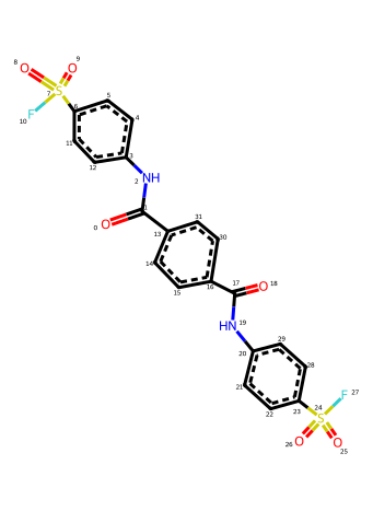 O=C(Nc1ccc(S(=O)(=O)F)cc1)c1ccc(C(=O)Nc2ccc(S(=O)(=O)F)cc2)cc1